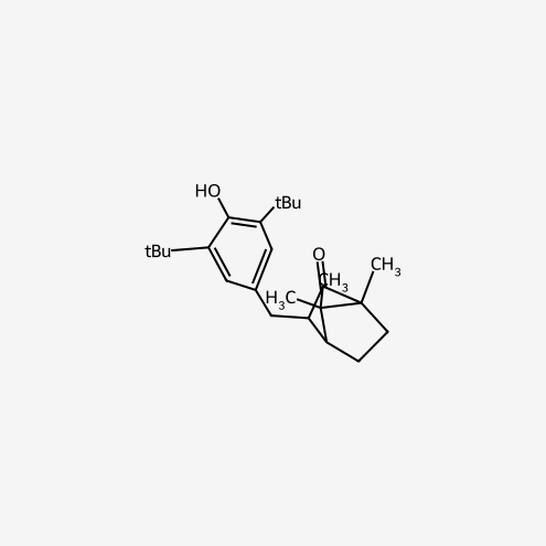 CC(C)(C)c1cc(CC2C(=O)C3(C)CCC2C3(C)C)cc(C(C)(C)C)c1O